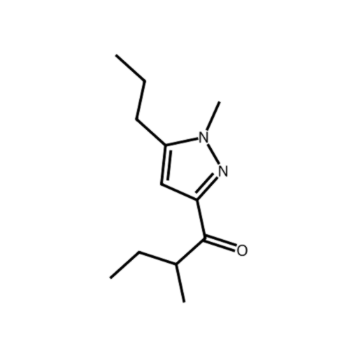 CCCc1cc(C(=O)C(C)CC)nn1C